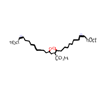 CCCCCCCC/C=C\CCCCCCCC(=O)CC(C(=O)O)C(=O)CCCCCCC/C=C\CCCCCCCC